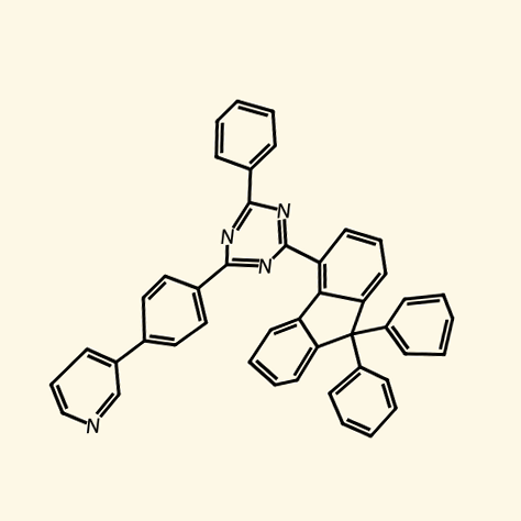 c1ccc(-c2nc(-c3ccc(-c4cccnc4)cc3)nc(-c3cccc4c3-c3ccccc3C4(c3ccccc3)c3ccccc3)n2)cc1